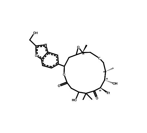 CC[C@H]1C(=O)C(C)(C)C(O)CC(=O)OC(c2ccc3oc(CO)nc3c2)CC2O[C@]2(C)CCC[C@H](C)[C@@H]1O